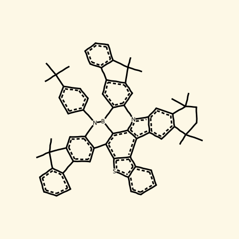 CC(C)(C)c1ccc(N2B3c4cc5c(cc4-n4c6cc7c(cc6c6c8c(sc9ccccc98)c(c3c64)-c3cc4c(cc32)C(C)(C)c2ccccc2-4)C(C)(C)CCC7(C)C)C(C)(C)c2ccccc2-5)cc1